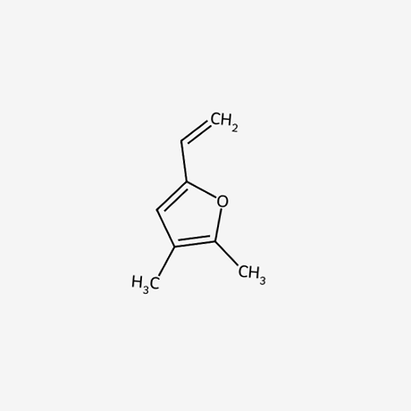 C=Cc1cc(C)c(C)o1